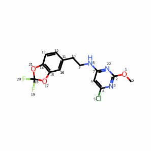 COc1nc(Cl)cc(NCCc2ccc3c(c2)OC(F)(F)O3)n1